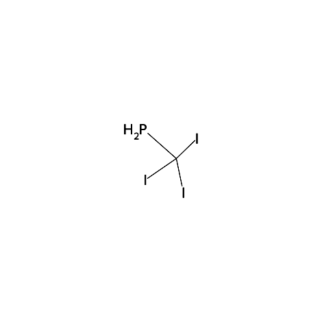 PC(I)(I)I